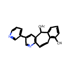 CC(=O)OC1c2cc(-c3cccnc3)cnc2C=Cc2c(C#N)cccc21